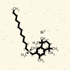 CCCCCCCCCCCC[N+](C)(C)Cc1cc2c(cc1C)C(C)(C)CCC2(C)C.[Br-]